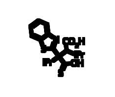 CC(C)C(C(=O)O)C(C(O)=S)(c1nc2ccccc2s1)C(C)C